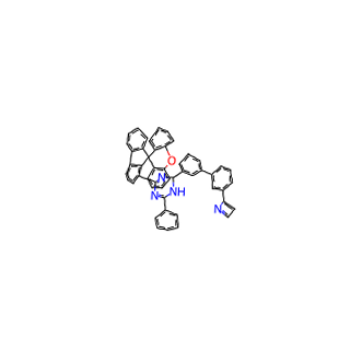 C1=NC(c2cccc(-c3cccc(C4N=C(c5cccc6c5C5(c7ccccc7Oc7ccccc75)c5ccccc5-6)N=C(c5ccccc5)N4)c3)c2)=C1